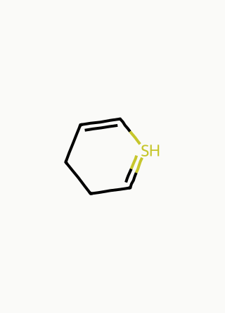 C1=C[SH]=CCC1